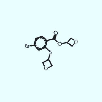 O=C(OC1COC1)c1ccc(Br)cc1SC1COC1